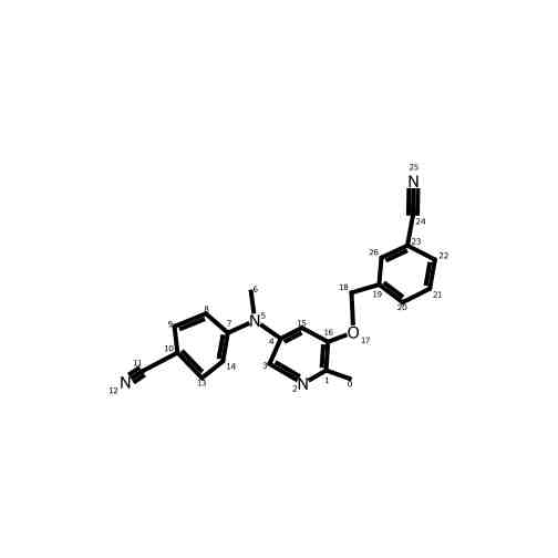 Cc1ncc(N(C)c2ccc(C#N)cc2)cc1OCc1cccc(C#N)c1